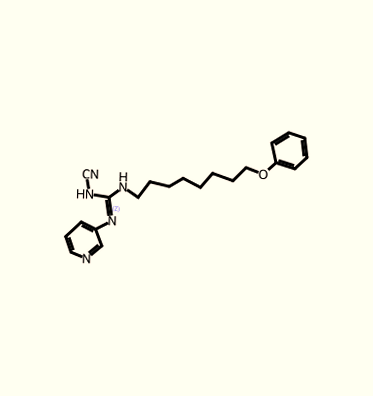 N#CN/C(=N\c1cccnc1)NCCCCCCCCOc1ccccc1